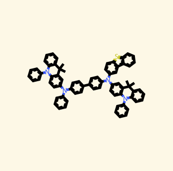 CC1(C)c2ccccc2N(c2ccccc2)c2ccc(N(c3ccccc3)c3ccc(-c4ccc(N(c5ccc6c(c5)C(C)(C)c5ccccc5N6c5ccccc5)c5ccc6sc7ccccc7c6c5)cc4)cc3)cc21